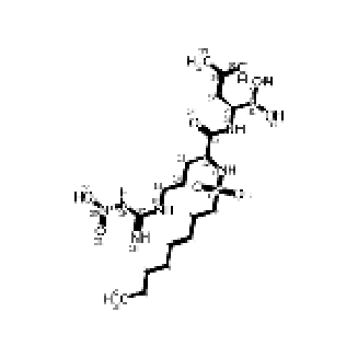 CCCCCCCCS(=O)(=O)N[C@@H](CCCNC(=N)N[N+](=O)O)C(=O)N[C@@H](CC(C)C)B(O)O